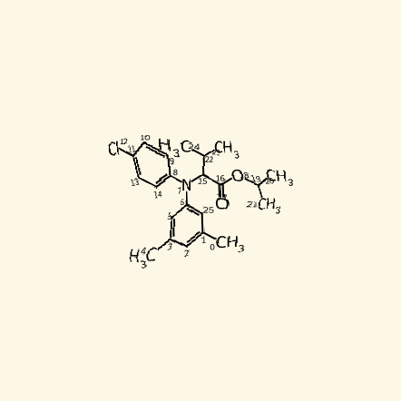 Cc1cc(C)cc(N(c2ccc(Cl)cc2)C(C(=O)OC(C)C)C(C)C)c1